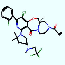 C=CC(=O)N1CCN2C(=O)c3c(N4C[C@H](N(C)CC(F)(F)F)CC4(C)C)nc(-c4ccccc4F)c(Cl)c3OC[C@H]2C1